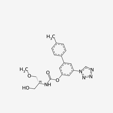 COC[C@@H](CO)NC(=O)Oc1cc(-c2ccc(C)cc2)cc(-n2cnnn2)c1